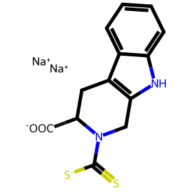 O=C([O-])C1Cc2c([nH]c3ccccc23)CN1C(=S)[S-].[Na+].[Na+]